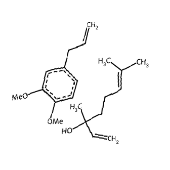 C=CC(C)(O)CCC=C(C)C.C=CCc1ccc(OC)c(OC)c1